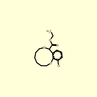 CCOC(=O)C1OCCCCCCOc2c(Cl)cccc21